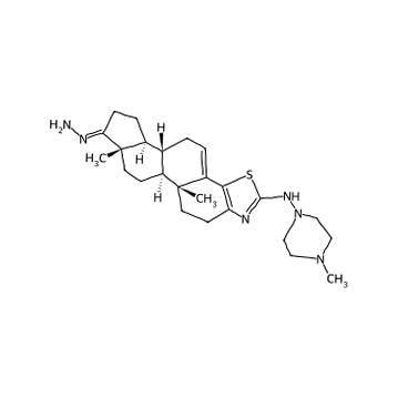 CN1CCN(Nc2nc3c(s2)C2=CC[C@@H]4[C@H](CC[C@]5(C)/C(=N/N)CC[C@@H]45)[C@@]2(C)CC3)CC1